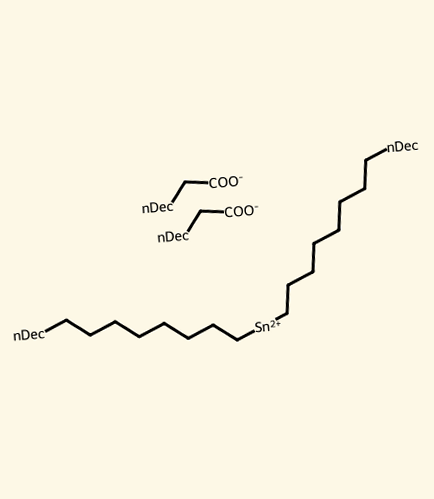 CCCCCCCCCCCC(=O)[O-].CCCCCCCCCCCC(=O)[O-].CCCCCCCCCCCCCCCCC[CH2][Sn+2][CH2]CCCCCCCCCCCCCCCCC